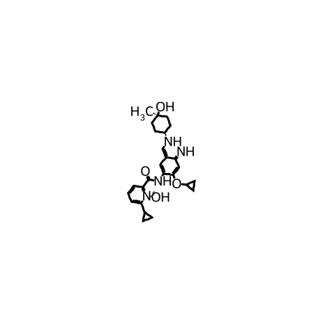 C[C@]1(O)CC[C@H](N/C=C2/C=C(NC(=O)c3cccc(C4CC4)[n+]3O)C(OC3CC3)=CC2=N)CC1